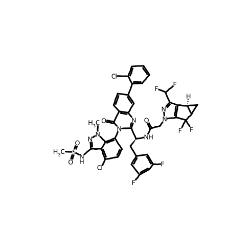 Cn1nc(NS(C)(=O)=O)c2c(Cl)ccc(-n3c([C@H](Cc4cc(F)cc(F)c4)NC(=O)Cn4nc(C(F)F)c5c4C(F)(F)C4C[C@H]54)nc4cc(-c5ccccc5Cl)ccc4c3=O)c21